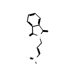 O=C1c2ccccc2C(=O)N1CC=C[N+](=O)[O-]